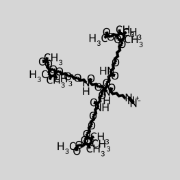 CC(=O)OCC1OC(OCCCCCOCCNC(=O)CCOCC(COCCC(=O)NCCOCCOCCOC2OC(COC(C)=O)C(C)C(C)C2C)(COCCC(=O)NCCOCCOCCOC2OC(COC(C)=O)C(C)C(C)C2C)NC(=O)CCCCCN=[N+]=[N-])C(C)C(C)C1C